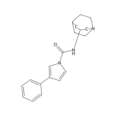 O=C(NC1CC2CCN(CC2)C1)n1ccc(-c2ccccc2)c1